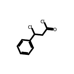 O=C(Cl)CC(Cl)c1ccccc1